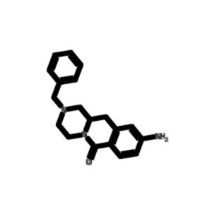 Nc1ccc2c(c1)CC1CN(Cc3ccccc3)CCN1C2=O